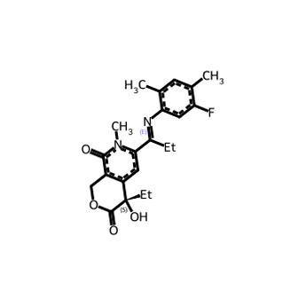 CC/C(=N\c1cc(F)c(C)cc1C)c1cc2c(c(=O)n1C)COC(=O)[C@]2(O)CC